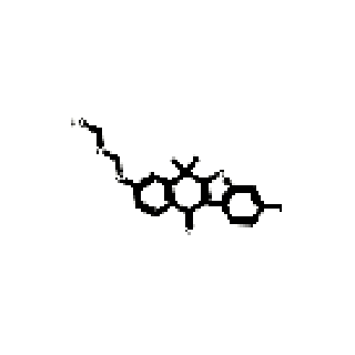 CC1(C)c2cc(OCOCO)ccc2C(=O)c2c1oc1cc(F)ccc21